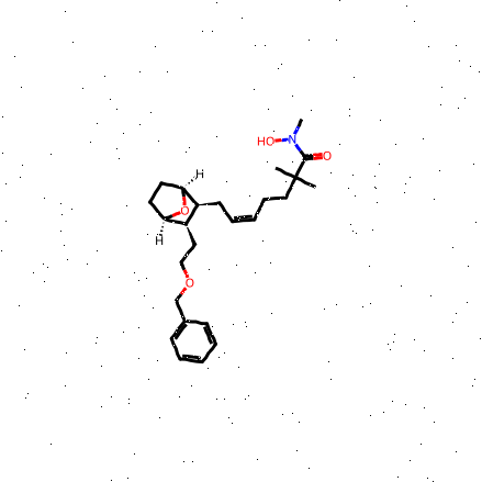 CN(O)C(=O)C(C)(C)CC/C=C\C[C@H]1[C@@H](CCOCc2ccccc2)[C@H]2CC[C@@H]1O2